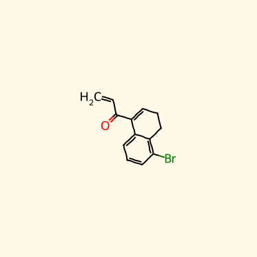 C=CC(=O)C1=CCCc2c(Br)cccc21